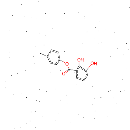 Cc1ccc(OC(=O)c2cccc(O)c2O)cc1